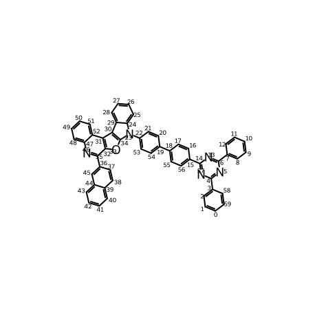 c1ccc(-c2nc(-c3ccccc3)nc(-c3ccc(-c4ccc(-n5c6ccccc6c6c7c(oc65)c(-c5ccc6ccccc6c5)nc5ccccc57)cc4)cc3)n2)cc1